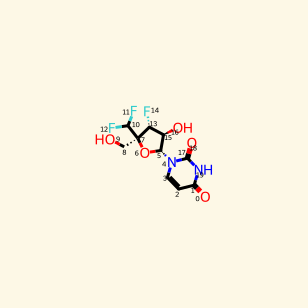 O=c1ccn([C@@H]2O[C@@](CO)(C(F)F)[C@H](F)[C@H]2O)c(=O)[nH]1